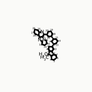 CC1(C)c2ccccc2-c2cc(-c3cccc(-c4cccc(-c5nc6ccccc6c6nc7ccccn7c56)c4)c3)ccc21